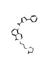 O=C(Nc1cccc2c(=O)n(CCCN3CCCC3=O)ccc12)c1ccc(-c2ccccc2)o1